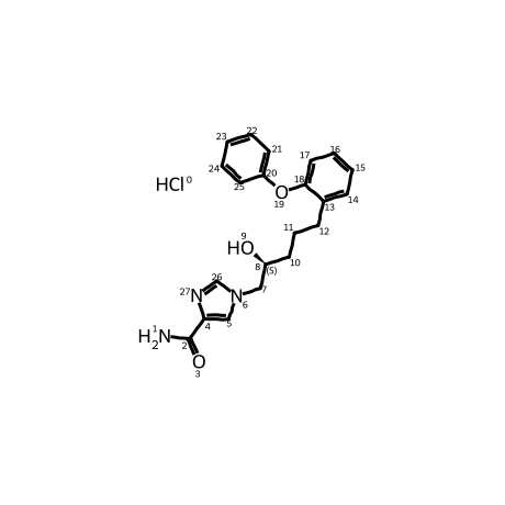 Cl.NC(=O)c1cn(C[C@@H](O)CCCc2ccccc2Oc2ccccc2)cn1